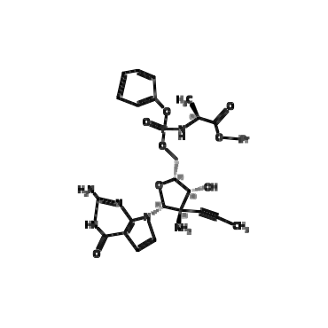 CC#C[C@@]1(N)[C@@H](O)[C@@H](COP(=O)(N[C@@H](C)C(=O)OC(C)C)Oc2ccccc2)O[C@H]1n1ccc2c(=O)[nH]c(N)nc21